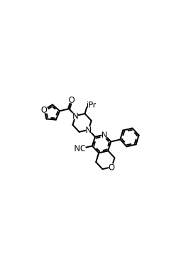 CC(C)C1CN(c2nc(-c3ccccc3)c3c(c2C#N)CCOC3)CCN1C(=O)c1ccoc1